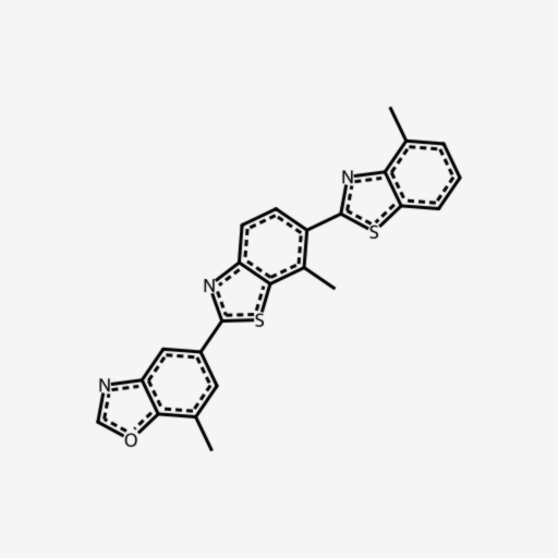 Cc1cccc2sc(-c3ccc4nc(-c5cc(C)c6ocnc6c5)sc4c3C)nc12